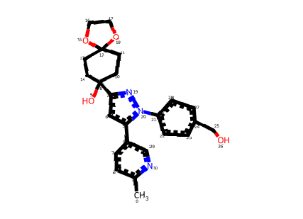 Cc1ccc(-c2cc(C3(O)CCC4(CC3)OCCO4)nn2-c2ccc(CO)cc2)cn1